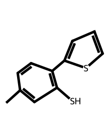 Cc1ccc(-c2cccs2)c(S)c1